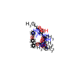 CCCCCC(=O)NC(=O)C(N)C(CO)CNC(=O)[C@H](C)NC(=O)[C@H](C)N(C(=O)OC(C)(C)C)C(=O)[C@@H](N)COCc1ccccc1-c1ccc(OCc2ccccc2)cc1